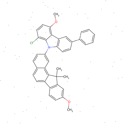 COc1ccc2c(c1)C(C)(C)c1c-2ccc2ccc(-n3c4ccc(-c5ccccc5)cc4c4c(OC)ccc(Cl)c43)cc12